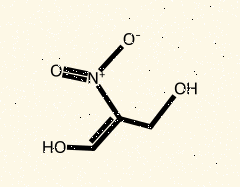 O=[N+]([O-])/C(=C\O)CO